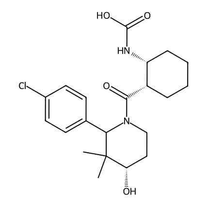 CC1(C)C(c2ccc(Cl)cc2)N(C(=O)[C@H]2CCCC[C@H]2NC(=O)O)CC[C@@H]1O